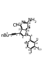 CCCCC#Cc1cn(Cc2ncc(C)c(I)c2C)c2nc(N)nc(Cl)c12